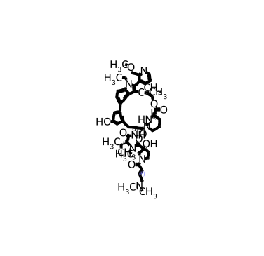 CCn1c(-c2cccnc2COC)c2c3cc(ccc31)-c1cc(O)cc(c1)C[C@H](NC(=O)[C@H](C(C)C)N(C)C(=O)[C@@]1(O)CCN(C(=O)/C=C/CN(C)C)C1)C(=O)N1CCC[C@H](N1)C(=O)OCC(C)(C)C2